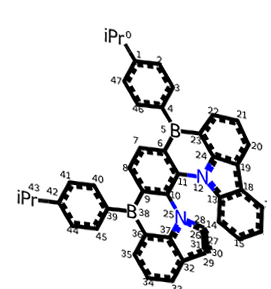 CC(C)c1ccc(B2c3ccc4c(c3-n3c5ccccc5c5cccc2c53)-n2c3ccccc3c3cccc(c32)B4c2ccc(C(C)C)cc2)cc1